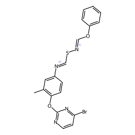 Cc1cc(/N=C/S/N=C/Oc2ccccc2)ccc1Oc1nccc(Br)n1